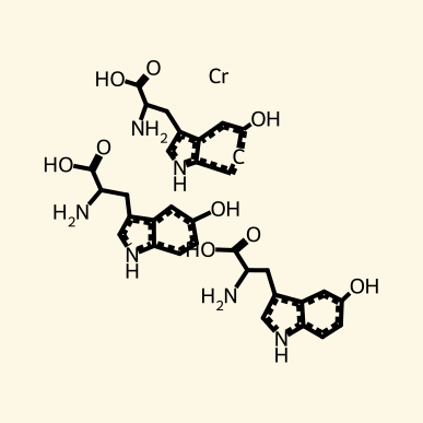 NC(Cc1c[nH]c2ccc(O)cc12)C(=O)O.NC(Cc1c[nH]c2ccc(O)cc12)C(=O)O.NC(Cc1c[nH]c2ccc(O)cc12)C(=O)O.[Cr]